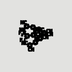 N#Cc1cc(C#N)cc(-c2ccc3c4ccc(-c5cc(C#N)cc(C#N)c5)cc4n(-c4cc(-c5cc(C(F)(F)F)cc(C(F)(F)F)c5)cc(-n5c6cc(-c7cc(C#N)cc(C#N)c7)ccc6c6ccc(-c7cc(C#N)cc(C#N)c7)cc65)c4C#N)c3c2)c1